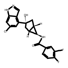 O=C(N[C@H]1[C@@H]2C[C@@](O)(c3cc(Cl)cc4[nH]ncc34)C[C@@H]21)c1ccc(F)c(F)c1